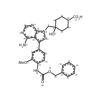 COc1cc(-c2nn(CC3(O)CCN(C(=O)O)CC3)c3ncnc(N)c23)ccc1NC(=O)OCc1ccccc1